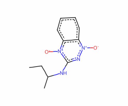 CCC(C)Nc1n[n+]([O-])c2ccccc2[n+]1[O-]